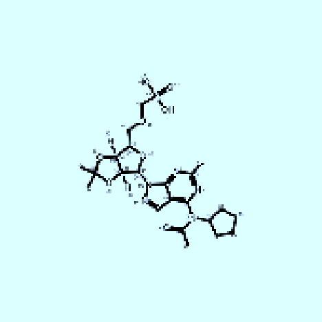 CC(=O)N(c1nc(Cl)nc2c1cnn2[C@@H]1O[C@H](COCP(=O)(O)O)[C@H]2OC(C)(C)O[C@H]21)C1CCCC1